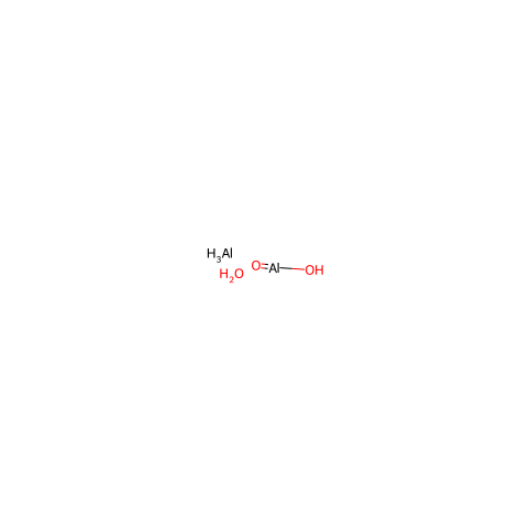 O.[AlH3].[O]=[Al][OH]